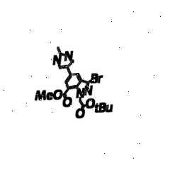 COC(=O)c1cc(-c2cnc(C)nc2)cc2c(Br)nn(CC(=O)OC(C)(C)C)c12